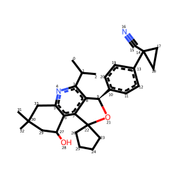 CC(C)c1nc2c(c3c1[C@@H](c1ccc(C4(C#N)CC4)cc1)OC31CCCC1)C(O)CC(C)(C)C2